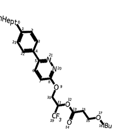 CCCCCCCc1ccc(-c2ccc(OCC(OC(=O)CCOC(C)CC)C(F)(F)F)nn2)cc1